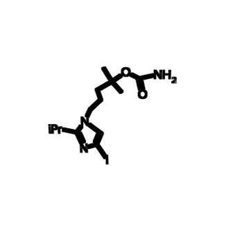 CC(C)c1nc(I)cn1CCCC(C)(C)OC(N)=O